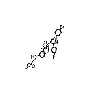 CCOC(=O)CCNc1ccc(CCN2C(=O)COC2c2cn(-c3ccc(Br)cc3)nc2-c2ccc(F)cc2)cc1